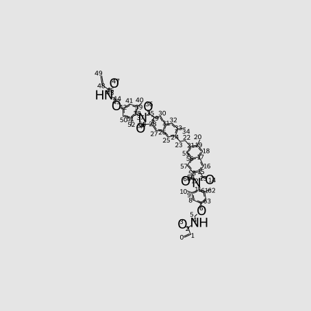 C=CC(=O)NCOc1cc(C)c(N2C(=O)c3cc4cc(C)c(CCc5cc6cc7c(cc6cc5C)C(=O)N(c5c(C)cc(OCNC(=O)C=C)cc5C)C7=O)cc4cc3C2=O)c(C)c1